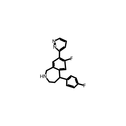 Fc1ccc(C2CCNCc3cc(-c4cccnn4)c(F)cc32)cc1